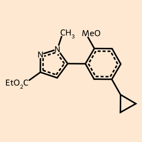 CCOC(=O)c1cc(-c2cc(C3CC3)ccc2OC)n(C)n1